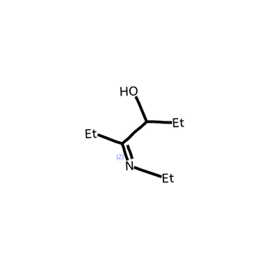 CC/N=C(/CC)C(O)CC